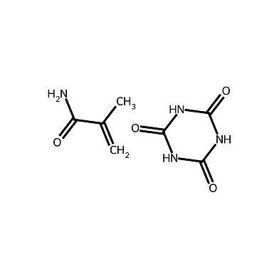 C=C(C)C(N)=O.O=c1[nH]c(=O)[nH]c(=O)[nH]1